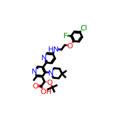 Cc1ncc(-c2ccc(NCCOc3ccc(Cl)cc3F)cn2)c(N2CCC(C)(C)CC2)c1[C@H](OC(C)(C)C)C(=O)O